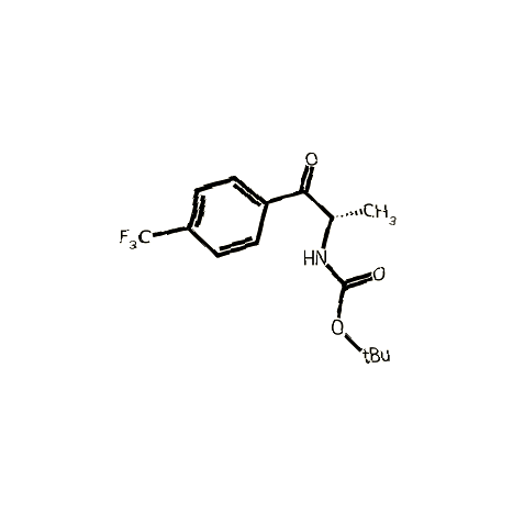 C[C@H](NC(=O)OC(C)(C)C)C(=O)c1ccc(C(F)(F)F)cc1